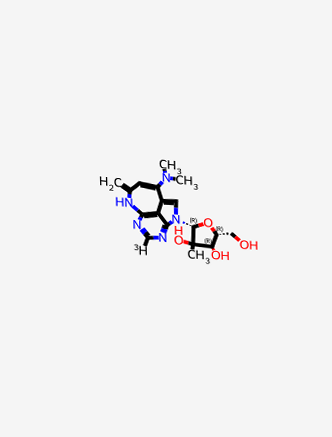 [3H]c1nc2[nH]c(=C)cc(N(C)C)c3cn([C@@H]4O[C@H](CO)[C@@H](O)C4(C)O)c(n1)c23